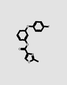 Cc1nc(C(=O)OC2=CC(Oc3ccc(F)cc3)CC=C2)co1